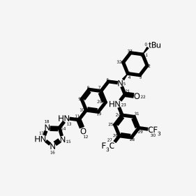 CC(C)(C)[C@H]1CC[C@@H](N(Cc2ccc(C(=O)Nc3nn[nH]n3)cc2)C(=O)Nc2cc(C(F)(F)F)cc(C(F)(F)F)c2)CC1